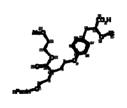 CCCCCOCCN(CCOc1ccc(CC(OCC)C(=O)O)cc1)C(=O)OCCOC